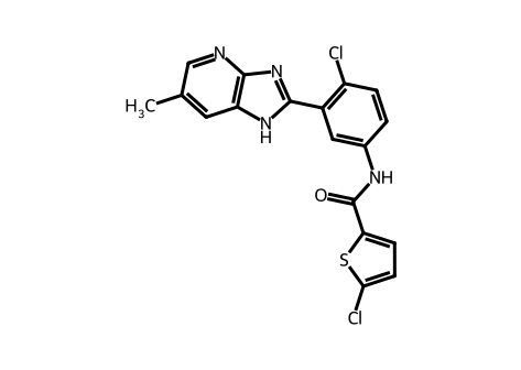 Cc1cnc2nc(-c3cc(NC(=O)c4ccc(Cl)s4)ccc3Cl)[nH]c2c1